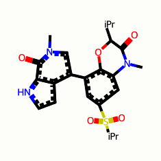 CC(C)C1Oc2c(-c3cn(C)c(=O)c4[nH]ccc34)cc(S(=O)(=O)C(C)C)cc2N(C)C1=O